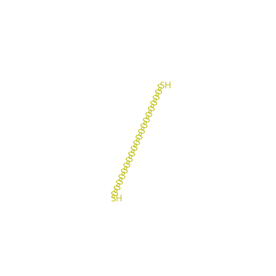 SSSSSSSSSSSSSSSSSSSSSSSSSSSSSSSSSSSSSSSSS